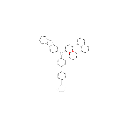 c1ccc(-c2cccc3cccc(-c4ccc(N(c5ccc(-c6ccc(C78CCC(CC7)C8)cc6)cc5)c5ccc6c(c5)oc5ccccc56)cc4)c23)cc1